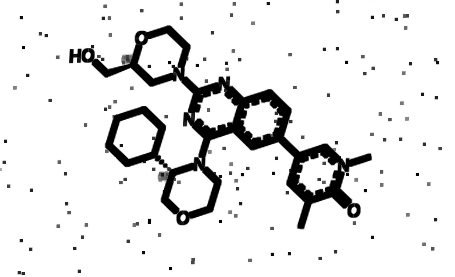 Cc1cc(-c2ccc3nc(N4CCO[C@H](CO)C4)nc(N4CCOC[C@@H]4C4CCCCC4)c3c2)cn(C)c1=O